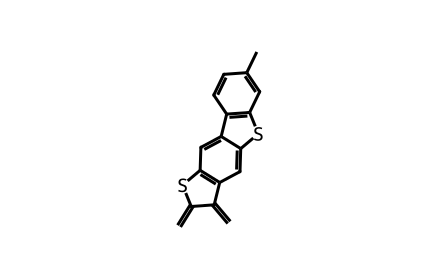 C=c1sc2cc3c(cc2c1=C)sc1cc(C)ccc13